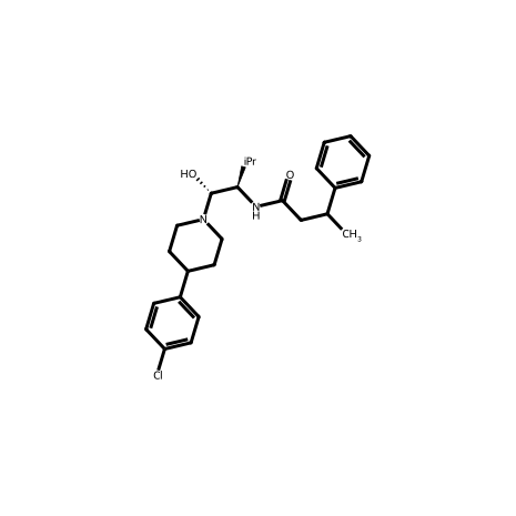 CC(CC(=O)N[C@H](C(C)C)[C@@H](O)N1CCC(c2ccc(Cl)cc2)CC1)c1ccccc1